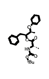 C[C@H](NC(=O)OC(C)(C)C)C(=O)OC(Cc1ccccc1)[C@H](C)Oc1ccccc1